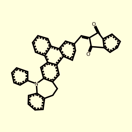 O=C1C(=Cc2ccc3c(c2)c2ccccc2c2cc4c(cc32)CCc2ccccc2N4c2ccccc2)C(=O)c2ccccc21